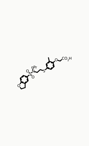 CCCN(CCSc1ccc(OCC(=O)O)c(C)c1)S(=O)(=O)c1ccc2c(c1)CCO2